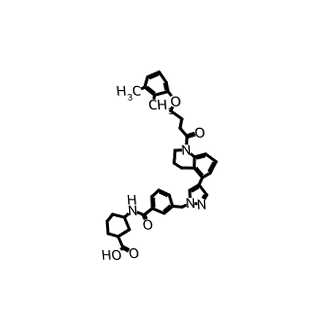 Cc1cccc(OCCCC(=O)N2CCCc3c(-c4cnn(Cc5cccc(C(=O)NC6CCCC(C(=O)O)C6)c5)c4)cccc32)c1C